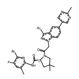 CC(=O)c1nn(CC(=O)N2CC(C)(C)C[C@H]2C(=O)Nc2nc(Br)c(F)cc2C)c2ccc(-c3cnc(C)nc3)cc12